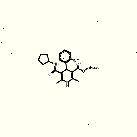 CCCCCCCOC(=O)C1=C(C)NC(C)=C(C(=O)NC2CCCC2)C1c1ccccc1[N+](=O)[O-]